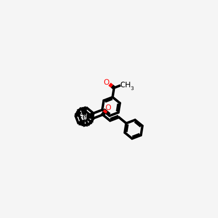 CC(=O)c1cccc([C]23[CH]4[CH]5[CH]6[CH]2[Fe]56432789[CH]3[CH]2[CH]7[C]8(C(=O)C=Cc2ccccc2)[CH]39)c1